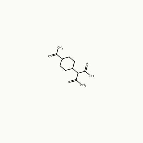 CC(=O)N1CCC(C(C(N)=O)C(=O)O)CC1